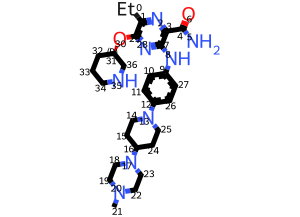 CCc1nc(C(N)=O)c(Nc2ccc(N3CCC(N4CCN(C)CC4)CC3)cc2)nc1O[C@@H]1CCCNC1